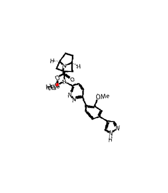 COc1cc(-c2cn[nH]c2)ccc1-c1ccc(N(C)C2C[C@H]3CC[C@@H](C2)N3C(=O)OC(C)(C)C)nn1